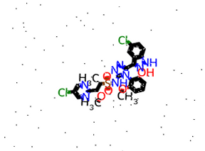 COc1cccc(O)c1-n1c(NS(=O)(=O)[C@@H](C)[C@H](OC)c2ncc(Cl)cn2)nnc1-c1n[nH]c2ccc(Cl)cc12